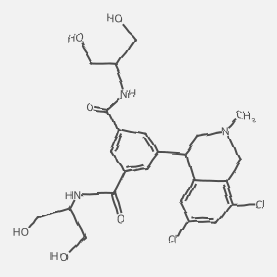 CN1Cc2c(Cl)cc(Cl)cc2C(c2cc(C(=O)NC(CO)CO)cc(C(=O)NC(CO)CO)c2)C1